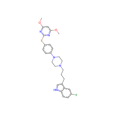 COc1cc(OC)nc(Sc2ccc(N3CCN(CCCc4c[nH]c5ccc(F)cc45)CC3)cc2)n1